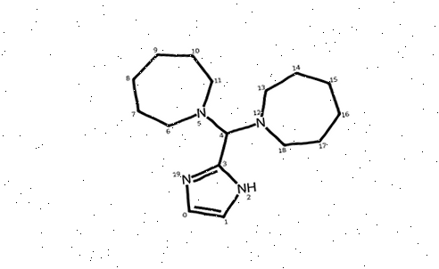 c1c[nH]c(C(N2CCCCCC2)N2CCCCCC2)n1